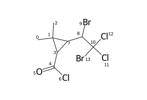 CC1(C)C(C(=O)Cl)C1C(Br)C(Cl)(Cl)Br